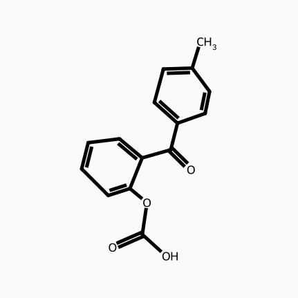 Cc1ccc(C(=O)c2ccccc2OC(=O)O)cc1